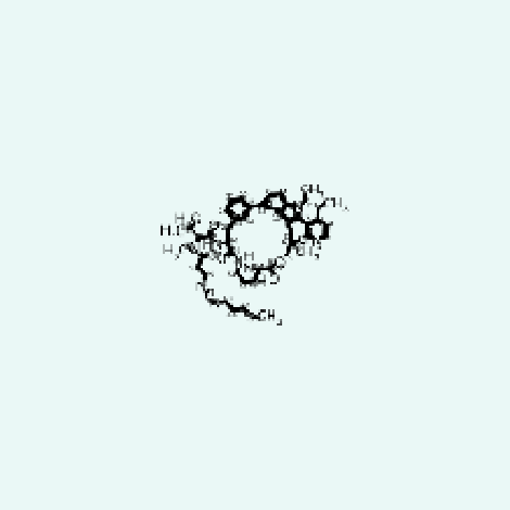 CCc1ccncc1-c1c2c3cc(ccc3n1CC)-c1cccc(c1)C[C@H](NC(=O)[C@H](C(C)C)N(C)C(=O)CCN=C=NCCCSC)C(=O)N1CCC[C@H](N1)C(=O)OCC(C)(C)C2